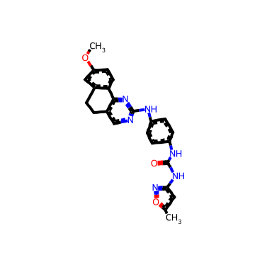 COc1ccc2c(c1)CCc1cnc(Nc3ccc(NC(=O)Nc4cc(C)on4)cc3)nc1-2